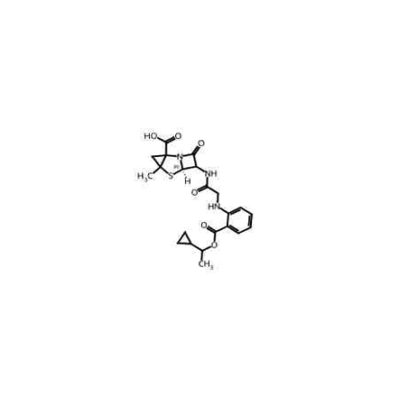 CC(OC(=O)c1ccccc1NCC(=O)NC1C(=O)N2[C@@H]1SC1(C)CC21C(=O)O)C1CC1